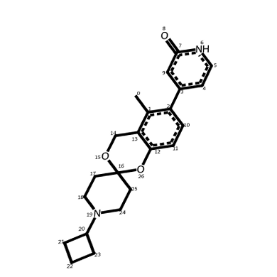 Cc1c(-c2cc[nH]c(=O)c2)ccc2c1COC1(CCN(C3CCC3)CC1)O2